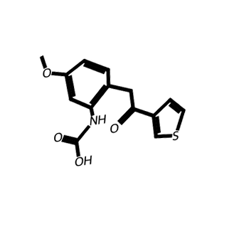 COc1ccc(CC(=O)c2ccsc2)c(NC(=O)O)c1